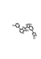 Fc1cccc(-c2ccnc3[nH]c(-c4n[nH]c5ccc(-c6cn[nH]c6)cc45)nc23)c1